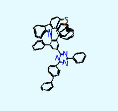 c1ccc(-c2ccc(-c3nc(-c4ccccc4)nc(-c4cc(-c5ccccc5)c(-n5c6ccccc6c6ccc7sc8ccccc8c7c65)c(-c5ccccc5)c4)n3)cc2)cc1